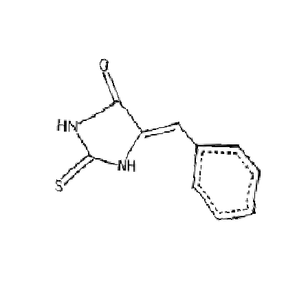 O=C1NC(=S)N/C1=C\c1ccccc1